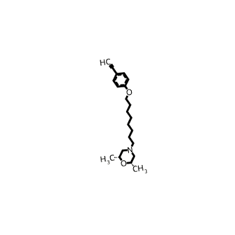 C#Cc1ccc(OCCCCCCCCN2C[C@@H](C)O[C@@H](C)C2)cc1